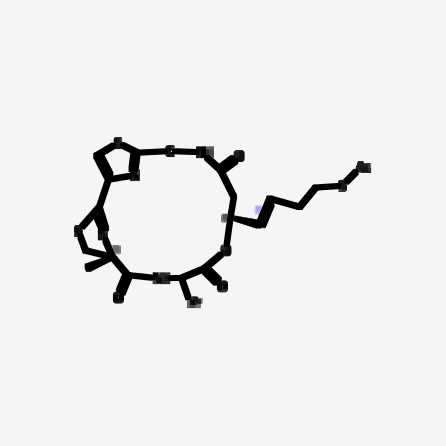 CC(=O)SCC/C=C/[C@@H]1CC(=O)NCc2nc(cs2)C2=N[C@@](C)(CS2)C(=O)NC(C(C)C)C(=O)O1